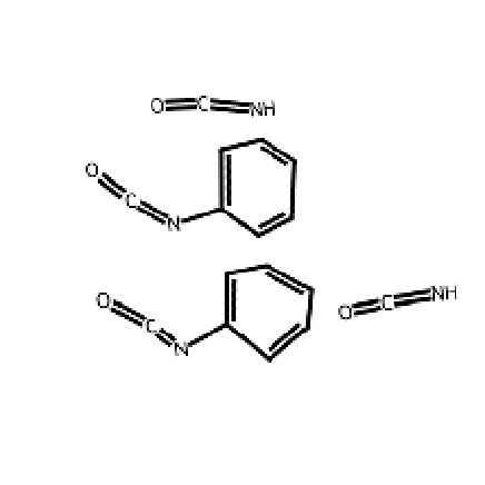 N=C=O.N=C=O.O=C=Nc1ccccc1.O=C=Nc1ccccc1